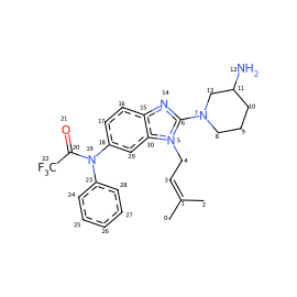 CC(C)=CCn1c(N2CCCC(N)C2)nc2ccc(N(C(=O)C(F)(F)F)c3ccccc3)cc21